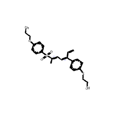 C=C/C(=C\C=C(/C)S(=O)(=O)c1ccc(OCCO)cc1)c1ccc(SCCO)cc1